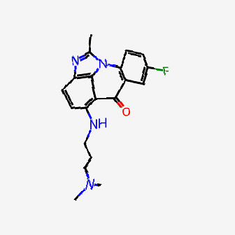 Cc1nc2ccc(NCCCN(C)C)c3c(=O)c4cc(F)ccc4n1c23